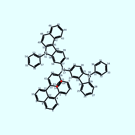 c1ccc(-c2cccc3cccc(-c4ccc(N(c5ccc6c(c5)c5ccccc5n6-c5ccccc5)c5ccc6c7c8ccccc8ccc7n(-c7ccccc7)c6c5)cc4)c23)cc1